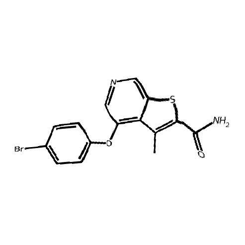 Cc1c(C(N)=O)sc2cncc(Oc3ccc(Br)cc3)c12